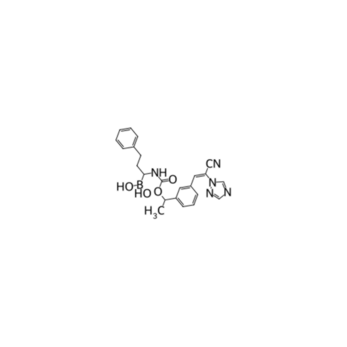 CC(OC(=O)NC(CCc1ccccc1)B(O)O)c1cccc(C=C(C#N)n2cncn2)c1